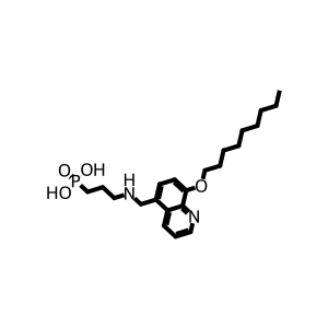 CCCCCCCCCOc1ccc(CNCCCP(=O)(O)O)c2cccnc12